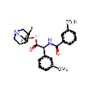 COc1cccc(C(NC(=O)c2cccc(C(=O)O)c2)C(=O)O[C@H]2CN3CCC2CC3)c1